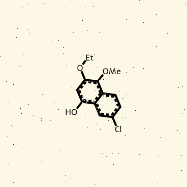 CCOc1cc(O)c2cc(Cl)ccc2c1OC